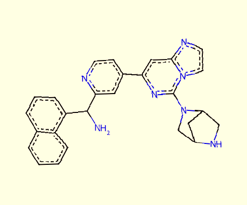 NC(c1cc(-c2cc3nccn3c(N3CC4CC3CN4)n2)ccn1)c1cccc2ccccc12